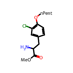 CCCCCOc1ccc(CC(N)C(=O)OC)cc1Cl